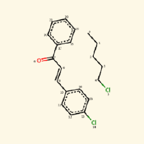 CCCCCCl.O=C(C=Cc1ccc(Cl)cc1)c1ccccc1